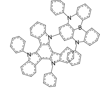 c1ccc(N2c3ccccc3B3c4ccccc4N(c4ccccc4)c4cc(-n5c6ccccc6c6c7c(c8ccccc8n7-c7ccccc7)c7c(c8ccccc8n7-c7ccccc7)c65)cc2c43)cc1